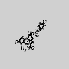 NC(=O)c1cc2cc(NC(=O)COc3ccc(Cl)cc3)ccc2n1Cc1cccc(F)c1